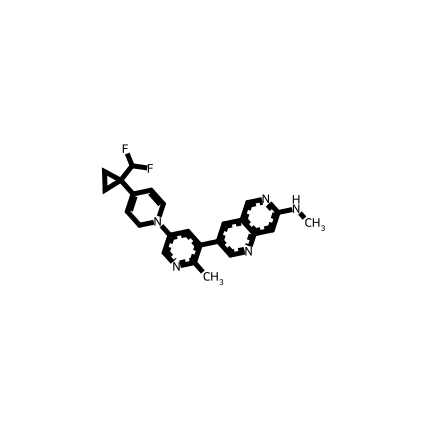 CNc1cc2ncc(-c3cc(N4C=CC(C5(C(F)F)CC5)=CC4)cnc3C)cc2cn1